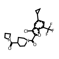 O=C(c1oc2c(C(F)(F)F)cc(C3CC3)cc2c1Cl)N1CCC(C(=O)N2CCC2)CC1